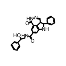 O=C(NCC(O)c1ccccc1)c1cc2c3c(c1)C(=O)NN=CC3C(c1ccccc1)N2